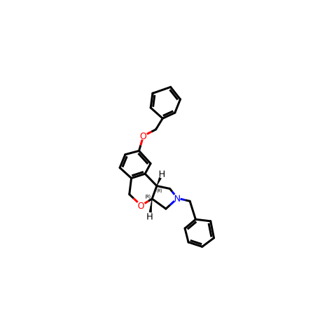 c1ccc(COc2ccc3c(c2)[C@@H]2CN(Cc4ccccc4)C[C@@H]2OC3)cc1